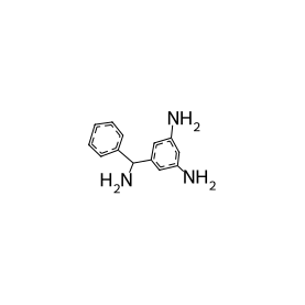 Nc1cc(N)cc(C(N)c2ccccc2)c1